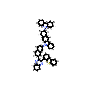 c1ccc2nc(-c3cccc4c3sc3ccccc34)c(-c3ccc4ccc(-n5c6ccccc6c6cc7cc(-n8c9ccccc9c9ccccc98)ccc7cc65)cc4c3)nc2c1